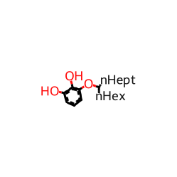 CCCCCCCC(CCCCCC)Oc1cccc(O)c1O